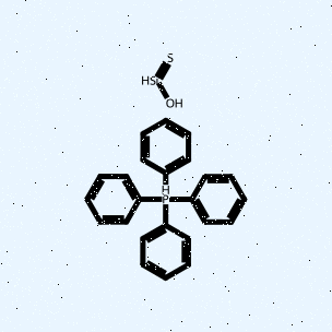 O[SiH]=S.c1ccc([PH](c2ccccc2)(c2ccccc2)c2ccccc2)cc1